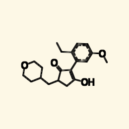 CCc1ccc(OC)cc1C1=C(O)CC(CC2CCOCC2)C1=O